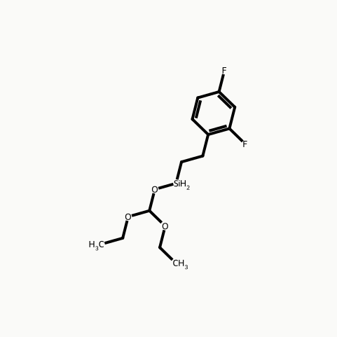 CCOC(OCC)O[SiH2]CCc1ccc(F)cc1F